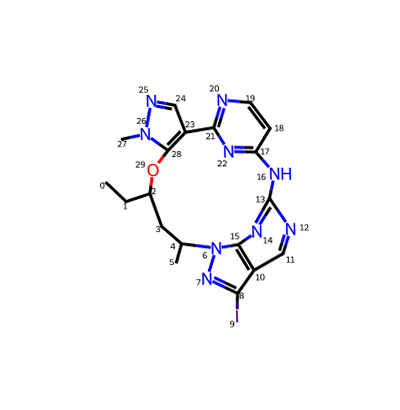 CCC1CC(C)n2nc(I)c3cnc(nc32)Nc2ccnc(n2)-c2cnn(C)c2O1